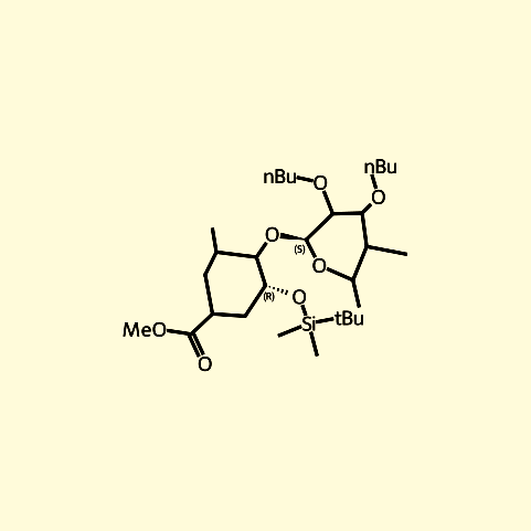 CCCCOC1C(C)C(C)O[C@@H](OC2C(C)CC(C(=O)OC)C[C@H]2O[Si](C)(C)C(C)(C)C)C1OCCCC